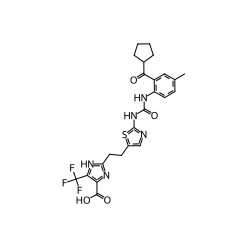 Cc1ccc(NC(=O)Nc2ncc(CCc3nc(C(=O)O)c(C(F)(F)F)[nH]3)s2)c(C(=O)C2CCCC2)c1